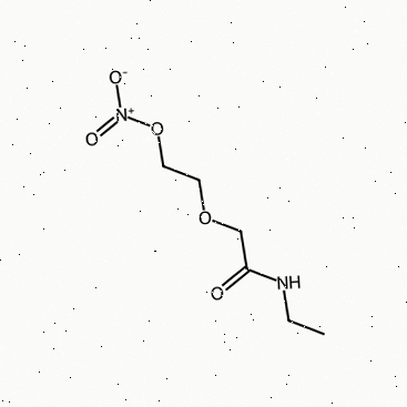 CCNC(=O)COCCO[N+](=O)[O-]